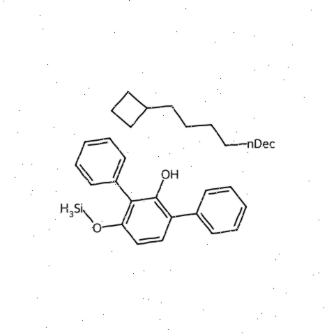 CCCCCCCCCCCCCCC1CCC1.Oc1c(-c2ccccc2)ccc(O[SiH3])c1-c1ccccc1